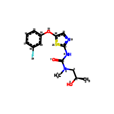 C[C@@H](O)CN(C)C(=O)Nc1ncc(Oc2cccc(F)c2)s1